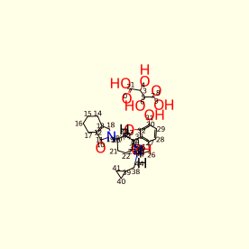 O=C(O)C(O)C(O)C(=O)O.O=C1C2=C(CCCC2)CN1[C@@H]1CCC2(O)[C@H]3Cc4ccc(O)c5c4[C@@]2(CCN3CC2CC2)[C@H]1O5